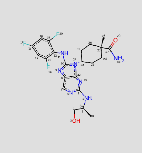 C[C@@H](CO)Nc1ncc2nc(Nc3c(F)cc(F)cc3F)n([C@H]3CC[C@@](C)(C(N)=O)CC3)c2n1